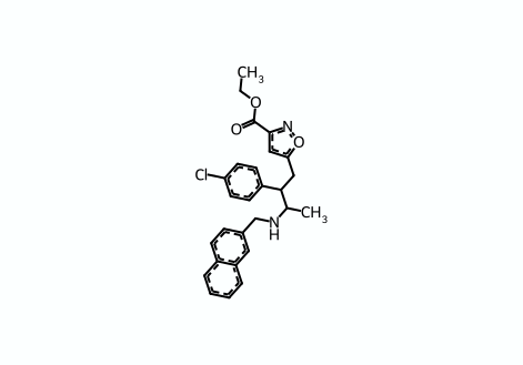 CCOC(=O)c1cc(CC(c2ccc(Cl)cc2)C(C)NCc2ccc3ccccc3c2)on1